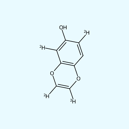 [2H]C1=C([2H])Oc2c(cc([2H])c(O)c2[2H])O1